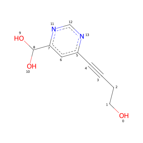 OCCC#Cc1cc(C(O)O)ncn1